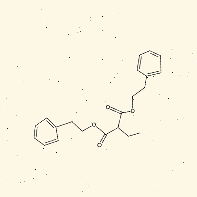 CCC(C(=O)OCCc1ccccc1)C(=O)OCCc1ccccc1